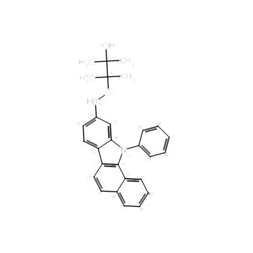 CC(C)(O)C(C)(C)OBc1ccc2c3ccc4ccccc4c3n(-c3ccccc3)c2c1